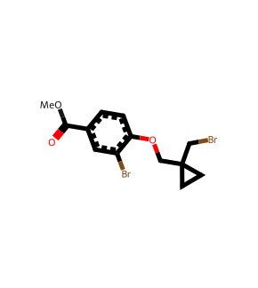 COC(=O)c1ccc(OCC2(CBr)CC2)c(Br)c1